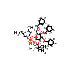 CCCCOP(=O)(OCCCC)O[C@@H]1OC(COCc2ccccc2)[C@H](OCc2ccccc2)[C@@H](OCc2ccccc2)C1OC(=O)C(C)(C)C